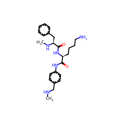 CNCc1ccc(NC(=O)[C@H](CCCCN)NC(=O)[C@H](Cc2ccccc2)NC)cc1